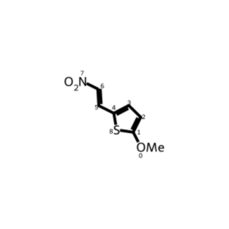 COc1ccc(C=C[N+](=O)[O-])s1